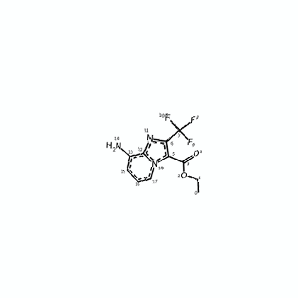 CCOC(=O)c1c(C(F)(F)F)nc2c(N)cccn12